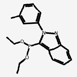 CCOP(OCC)c1c2ccccc2nn1-c1cccc(C)c1